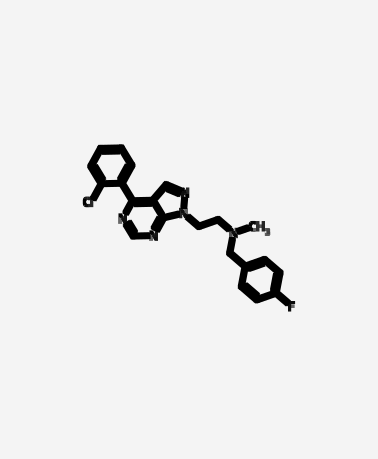 CN(CCn1ncc2c(-c3ccccc3Cl)ncnc21)Cc1ccc(F)cc1